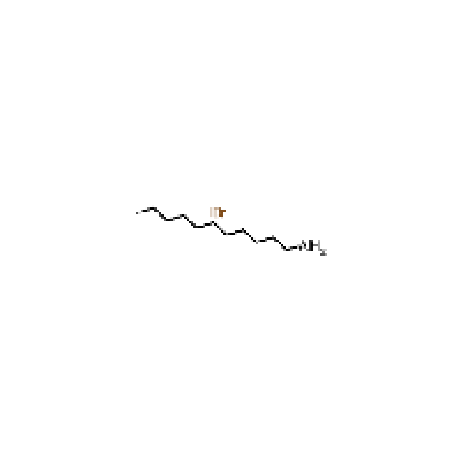 Br.CCCCCCCCCC[CH2][AlH2]